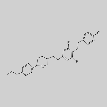 CCCc1ccc(C2CCC(CCc3cc(F)c(CCc4ccc(Cl)cc4)c(F)c3)CC2)cc1